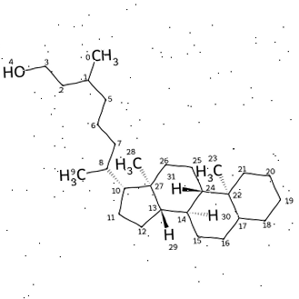 CC(CCO)CCCC(C)[C@H]1CC[C@H]2[C@@H]3CCC4CCCC[C@]4(C)[C@H]3CC[C@]12C